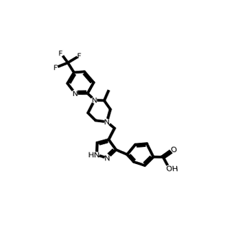 CC1CN(Cc2c[nH]nc2-c2ccc(C(=O)O)cc2)CCN1c1ccc(C(F)(F)F)cn1